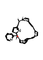 CCn1c2ccc1C(I)(c1ccccn1)C1(I)C=CC(=N1)C(I)C1(I)C=CC(=CC3=NC(=C2)C=C3)N1